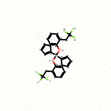 FC(F)(F)Cc1ccccc1[O][Zr]([O]c1ccccc1CC(F)(F)F)([C]1=CC=CC1)[C]1=CC=CC1